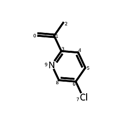 C=C(C)c1ccc(Cl)cn1